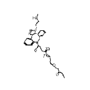 CCC(=O)CCOCCNC(=O)CCC(=O)N1Cc2ccccc2-c2c(nnn2CCCNC)-c2ccccc21